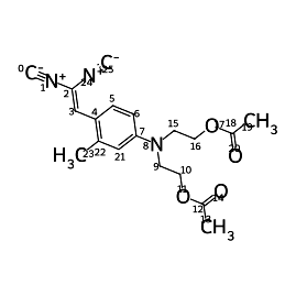 [C-]#[N+]C(=Cc1ccc(N(CCOC(C)=O)CCOC(C)=O)cc1C)[N+]#[C-]